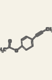 CC#CC1=CCC(OC(C)=O)C=C1